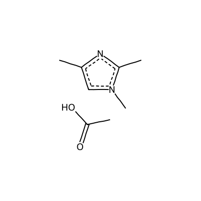 CC(=O)O.Cc1cn(C)c(C)n1